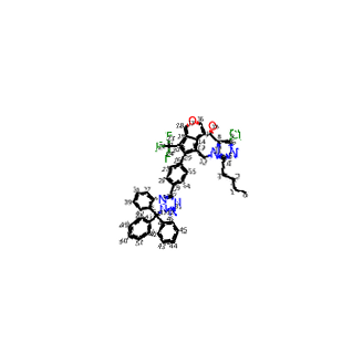 CCCCc1nc(Cl)c(C=O)n1Cc1c2ccocc-2c(C(F)(F)F)c1-c1ccc(-c2nnn(C(c3ccccc3)(c3ccccc3)c3ccccc3)n2)cc1